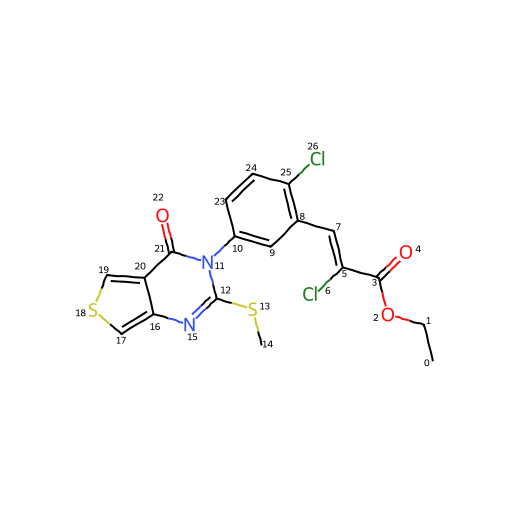 CCOC(=O)C(Cl)=Cc1cc(-n2c(SC)nc3cscc3c2=O)ccc1Cl